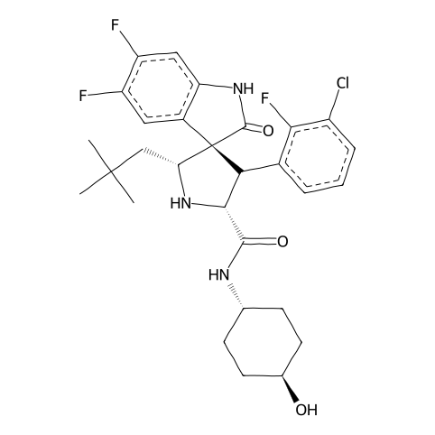 CC(C)(C)C[C@H]1N[C@@H](C(=O)N[C@H]2CC[C@H](O)CC2)C(c2cccc(Cl)c2F)[C@@]12C(=O)Nc1cc(F)c(F)cc12